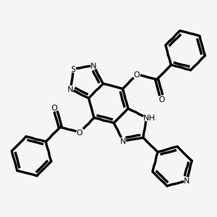 O=C(Oc1c2nsnc2c(OC(=O)c2ccccc2)c2[nH]c(-c3ccncc3)nc12)c1ccccc1